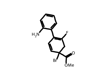 COC(=O)C1(Br)C=CC(c2ccccc2N)=C(F)C1